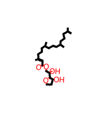 C/C(=C\C(=O)OC[C@@H](O)C1OCC[C@H]1O)CCCC(C)CCCC(C)CCCC(C)C